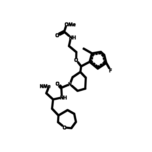 CNCC(CC1CCCCOC1)NC(=O)N1CCCC(C(OCCNC(=O)OC)c2cc(F)ccc2C)C1